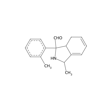 Cc1ccccc1C1(C=O)NC(C)C2=CC=CCC21